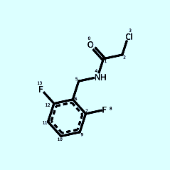 O=C(CCl)NCc1c(F)cccc1F